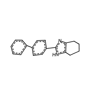 c1ccc(-c2ccc(-c3nc4c([nH]3)CCCC4)cc2)cc1